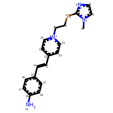 Cn1ccnc1SCC[n+]1ccc(/C=C/c2ccc(N)cc2)cc1